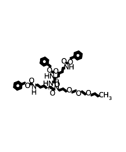 CCCCOCCOCCOCCCNC(=O)[C@H](CCCCNC(=O)OCc1ccccc1)NC(=O)[C@H](CCCCNC(=O)OCc1ccccc1)NC(=O)OCc1ccccc1